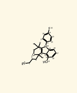 CC(C)CCCC1(C)OCC(C)(C)c2c1c1c(O)cccc1n2-c1ccc(F)cc1